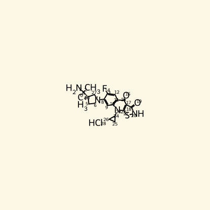 CC(C)(N)[C@@H]1CCN(c2cc3c(cc2F)c(=O)c2c(=O)[nH]sc2n3C2CC2)C1.Cl